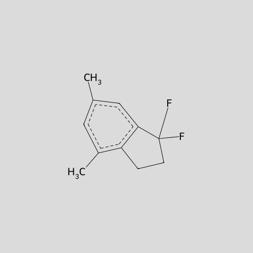 Cc1cc(C)c2c(c1)C(F)(F)CC2